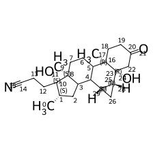 C[C@H]1CC2C3C(CC[C@]2(C)[C@]1(O)CCC#N)[C@@]1(C)CCC(=O)C[C@@]1(O)[C@@H]1C[C@H]31